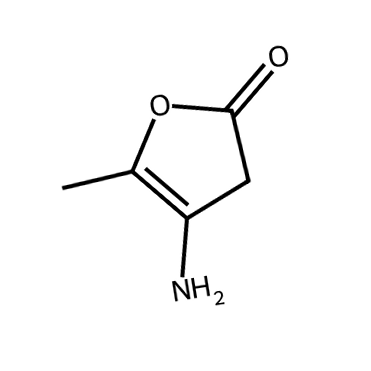 CC1=C(N)CC(=O)O1